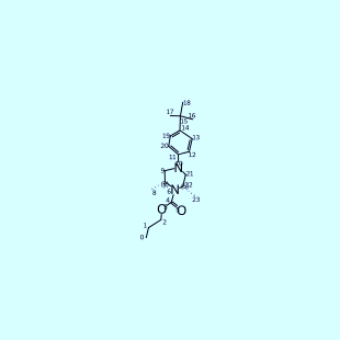 CCCOC(=O)N1[C@H](C)CN(c2ccc(C(C)(C)C)cc2)C[C@@H]1C